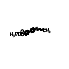 CCCCCSc1ccc(-c2ccc(OC(=O)OCC)cc2)cc1